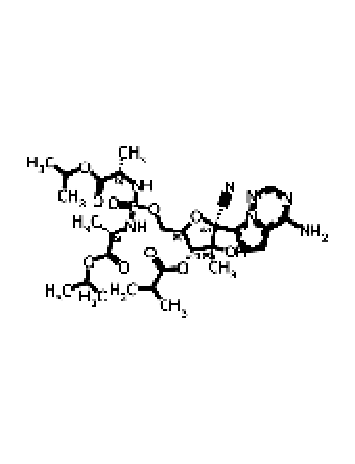 CC(C)OC(=O)[C@H](C)NP(=O)(N[C@@H](C)C(=O)OC(C)C)OC[C@H]1O[C@@](C#N)(c2ccc3c(N)ncnn23)[C@](C)(O)[C@@H]1OC(=O)C(C)C